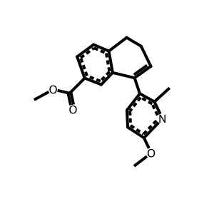 COC(=O)c1ccc2c(c1)C(c1ccc(OC)nc1C)=CCC2